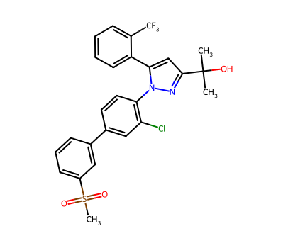 CC(C)(O)c1cc(-c2ccccc2C(F)(F)F)n(-c2ccc(-c3cccc(S(C)(=O)=O)c3)cc2Cl)n1